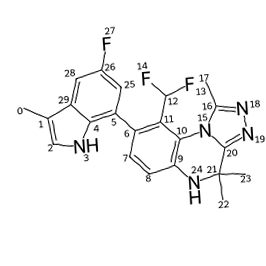 Cc1c[nH]c2c(-c3ccc4c(c3C(F)F)-n3c(C)nnc3C(C)(C)N4)cc(F)cc12